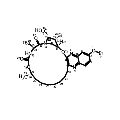 CCOc1ccc2nc3c(nc2c1)O[C@H]1CN(C(=O)[C@H](C(C)(C)C)NC(=O)O[C@@H](C)CCCCCCC3)[C@H](C(=O)O)[C@@H]1CC